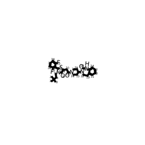 CC(C)(C)CCN1C(=O)C(CC(=O)N2CCC(N3CCc4ccccc4NC3=O)CC2)SC1c1c(F)cccc1F